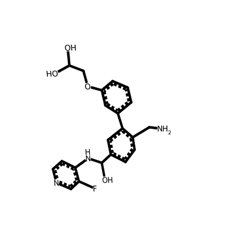 NCc1ccc(C(O)Nc2ccncc2F)cc1-c1cccc(OCC(O)O)c1